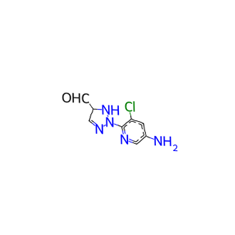 Nc1cnc(N2N=CC(C=O)N2)c(Cl)c1